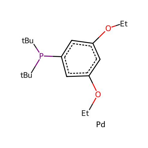 CCOc1cc(OCC)cc(P(C(C)(C)C)C(C)(C)C)c1.[Pd]